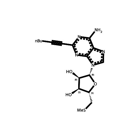 CCCCC#Cc1nc(N)c2ncn([C@@H]3O[C@H](CSC)[C@@H](O)[C@H]3O)c2n1